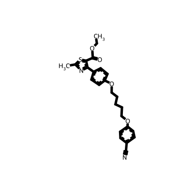 CCOC(=O)c1sc(C)nc1-c1ccc(OCCCCCOc2ccc(C#N)cc2)cc1